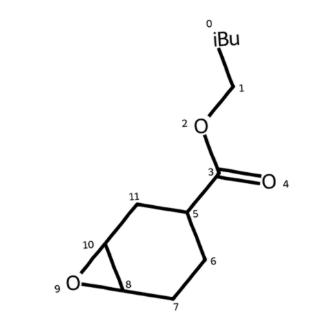 CCC(C)COC(=O)C1CCC2OC2C1